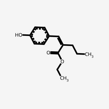 CCCC(=Cc1ccc(O)cc1)C(=O)OCC